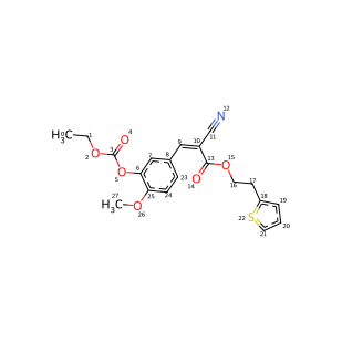 CCOC(=O)Oc1cc(C=C(C#N)C(=O)OCCc2cccs2)ccc1OC